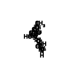 CCN(c1cc(-c2ccc(NC(=O)c3cc[nH]n3)cc2)sc1C(=O)O)C(=O)[C@H]1CC[C@H](C)CC1